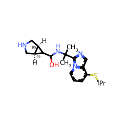 CC(C)Sc1cccn2c(C(C)(C)NC(O)C3[C@H]4CNC[C@@H]34)ncc12